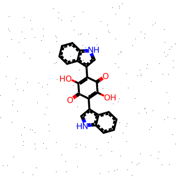 O=C1C(O)=C(c2c[nH]c3ccccc23)C(=O)C(O)=C1c1c[nH]c2ccccc12